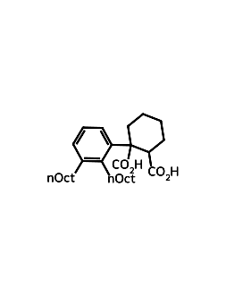 CCCCCCCCc1cccc(C2(C(=O)O)CCCCC2C(=O)O)c1CCCCCCCC